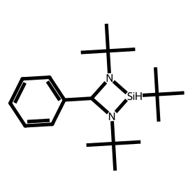 CC(C)(C)N1C(c2ccccc2)N(C(C)(C)C)[SiH]1C(C)(C)C